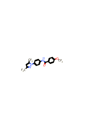 O=C(Nc1ccc(-n2nc(C(F)(F)F)cc2C(F)(F)F)cc1)c1ccc(OC(F)(F)F)cc1